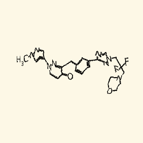 Cn1cc(-n2ccc(=O)c(Cc3cccc(-c4ncn(CC(F)(F)CN5CCOCC5)n4)c3)n2)cn1